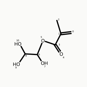 C=C(C)C(=O)OC(O)C(O)O